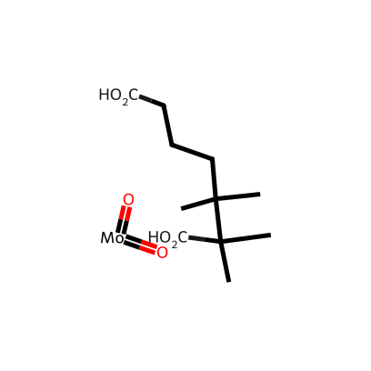 CC(C)(CCCC(=O)O)C(C)(C)C(=O)O.[O]=[Mo]=[O]